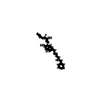 CC#CC[C@H](C)[C@H](O)/C=C/[C@@H]1[C@H]2CC(CCCCCNCc3ccncc3)=C[C@H]2C[C@H]1O